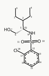 CCC(CC)[C@@H](CO)NS(=O)(=O)c1ccccc1Cl